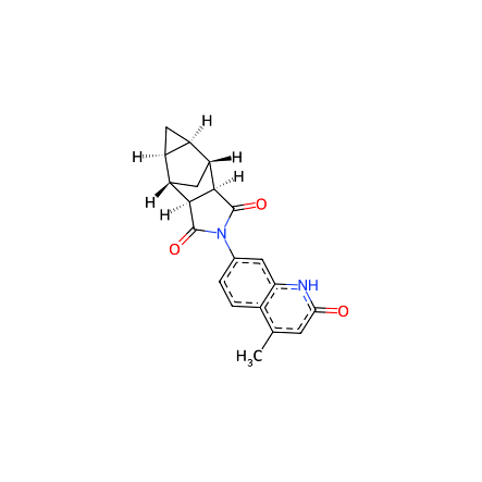 Cc1cc(=O)[nH]c2cc(N3C(=O)[C@@H]4[C@@H]5C[C@@H]([C@H]6C[C@H]65)[C@@H]4C3=O)ccc12